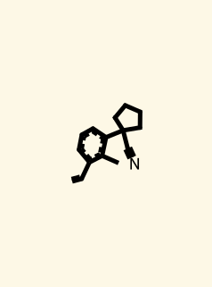 C=Cc1cccc(C2(C#N)CCCC2)c1C